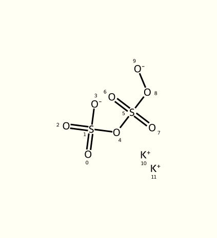 O=S(=O)([O-])OS(=O)(=O)O[O-].[K+].[K+]